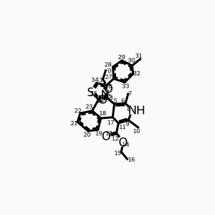 CCOC(=O)C1=C(C)NC(C)=C(C(=O)OCC)C1c1ccccc1-c1nc(-c2ccc(C)cc2)cs1